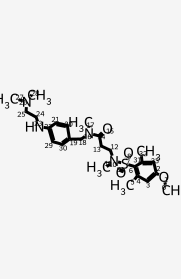 COc1cc(C)c(S(=O)(=O)N(C)CCC(=O)N(C)Cc2ccc(NCCN(C)C)cc2)c(C)c1